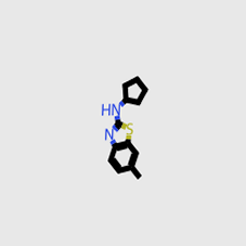 Cc1ccc2nc(NC3CCCC3)sc2c1